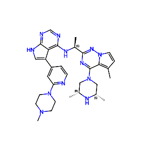 Cc1ccn2nc([C@H](C)Nc3ncnc4[nH]cc(-c5ccnc(N6CCN(C)CC6)c5)c34)nc(N3C[C@@H](C)N[C@@H](C)C3)c12